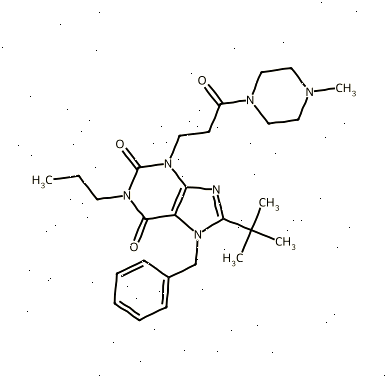 CCCn1c(=O)c2c(nc(C(C)(C)C)n2Cc2ccccc2)n(CCC(=O)N2CCN(C)CC2)c1=O